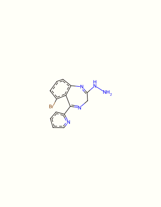 NNC1=Nc2cccc(Br)c2C(c2ccccn2)=NC1